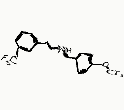 FC(F)(F)Oc1ccc(CNCCc2cccc(C(F)(F)F)c2)cc1